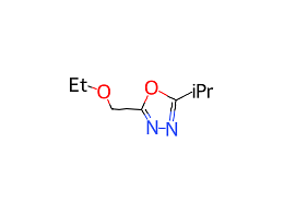 CCOCc1nnc(C(C)C)o1